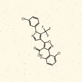 O=C(O)c1c(-c2c(F)cccc2Cl)noc1-c1cnn(-c2cccc(Cl)c2)c1C(F)(F)F